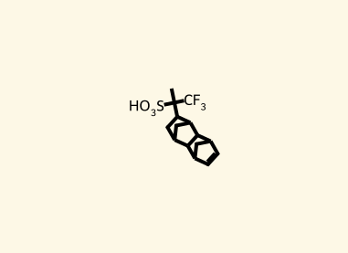 CC(C1CC2CC1C1C3C=CC(C3)C21)(C(F)(F)F)S(=O)(=O)O